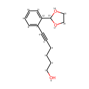 OCCCCC#Cc1ccccc1C1OCCO1